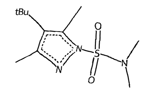 Cc1nn(S(=O)(=O)N(C)C)c(C)c1C(C)(C)C